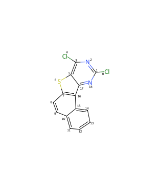 Clc1nc(Cl)c2sc3ccc4ccccc4c3c2n1